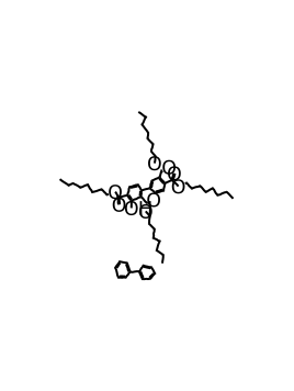 CCCCCCCCOC(=O)c1ccc(-c2ccc(C(=O)OCCCCCCCC)c(O)c2C(=O)OCCCCCCCC)cc1C(=O)OCCCCCCCC.c1ccc(-c2ccccc2)cc1